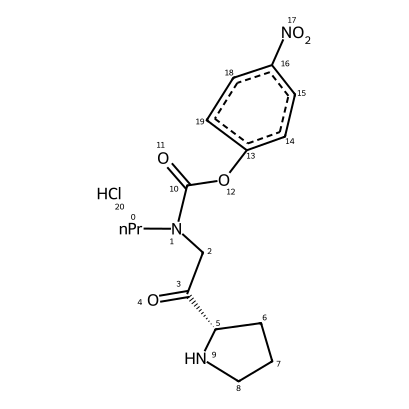 CCCN(CC(=O)[C@@H]1CCCN1)C(=O)Oc1ccc([N+](=O)[O-])cc1.Cl